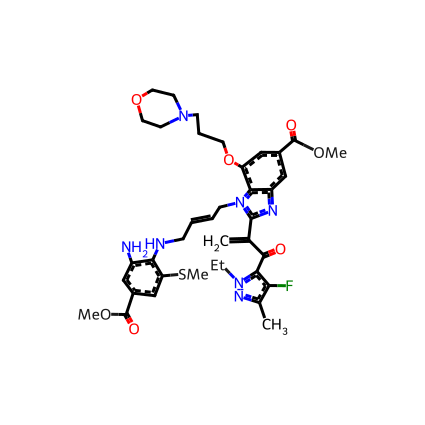 C=C(C(=O)c1c(F)c(C)nn1CC)c1nc2cc(C(=O)OC)cc(OCCCN3CCOCC3)c2n1C/C=C/CNc1c(N)cc(C(=O)OC)cc1SC